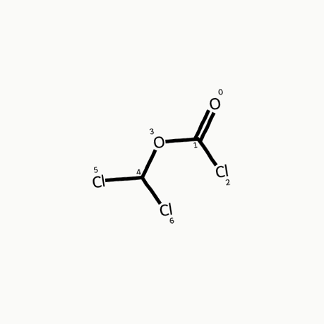 O=C(Cl)OC(Cl)Cl